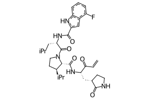 C=CC(=O)[C@H](C[C@@H]1CCNC1=O)NC(=O)[C@@H]1[C@@H](C(C)C)CCN1C(=O)[C@H](CC(C)C)NC(=O)c1cc2c(F)cccc2[nH]1